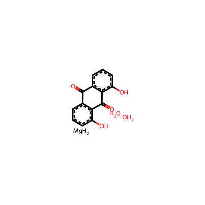 O.O.O=C1c2cccc(O)c2C(=O)c2c(O)cccc21.[MgH2]